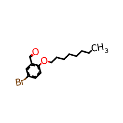 CCCCCCCCOc1ccc(Br)cc1C=O